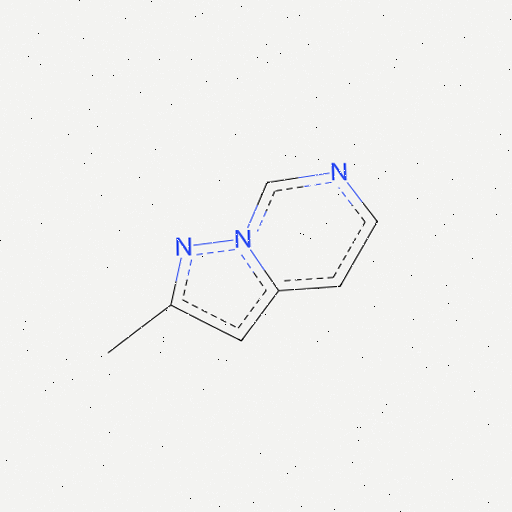 Cc1cc2ccncn2n1